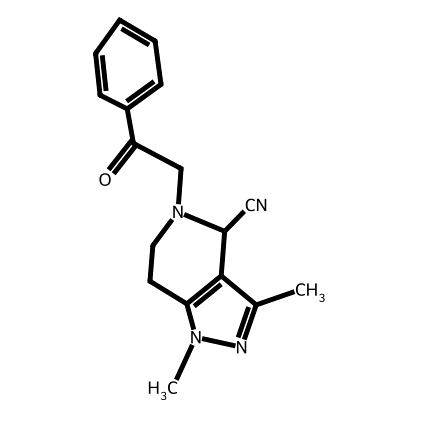 Cc1nn(C)c2c1C(C#N)N(CC(=O)c1ccccc1)CC2